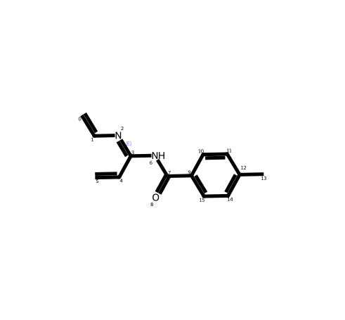 C=C/N=C(\C=C)NC(=O)c1ccc(C)cc1